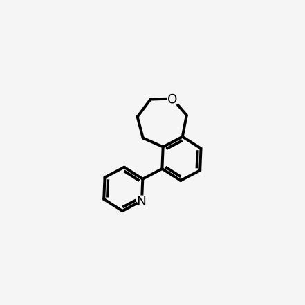 c1ccc(-c2cccc3c2CCCOC3)nc1